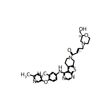 Cc1ccc(Oc2ccc(Nc3ncnc4sc5c(c34)CCN(C(=O)/C=C/CN3CCO[C@H](CO)C3)C5)cc2C)cn1